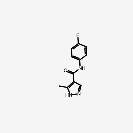 Cc1[nH]ncc1C(=O)Nc1ccc(F)cc1